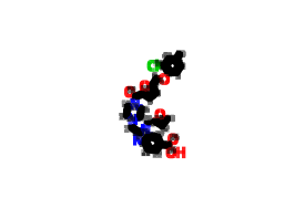 Cc1ccc(OCc2ccc(C(=O)N3CCN(Cc4nc5ccc(C(=O)O)cc5n4C[C@@H]4CCO4)CC3)o2)c(Cl)c1